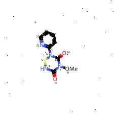 CON1C(=O)NSN(c2ccccn2)C1=O